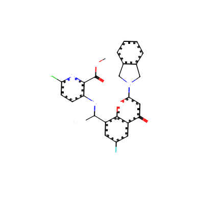 CC(Nc1ccc(Cl)nc1C(=O)OC(C)(C)C)c1cc(F)cc2c(=O)cc(N3Cc4ccccc4C3)oc12